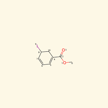 COC(=O)C1=CC=CC(I)C1